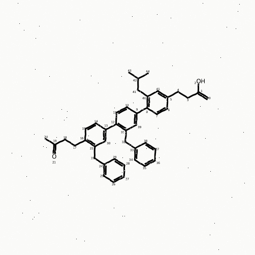 C=C(O)CCc1ccc(-c2ccc(-c3ccc(CCC(C)=O)c(Cc4ccccc4)c3)c(Cc3ccccc3)c2)c(CC(C)C)c1